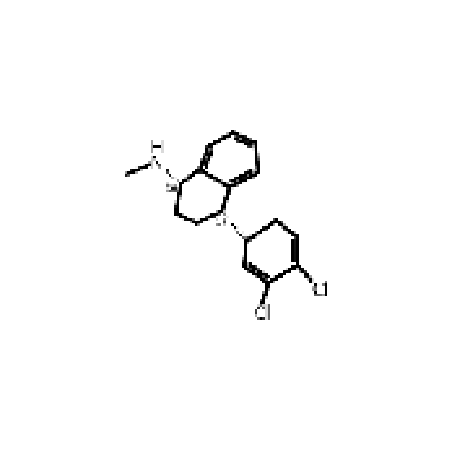 CN[C@H]1CC[C@@H](C2C=C(Cl)C(Cl)=CC2)c2ccccc21